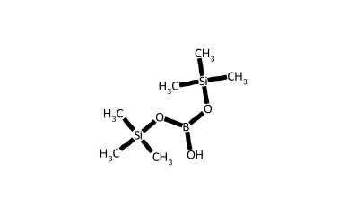 C[Si](C)(C)OB(O)O[Si](C)(C)C